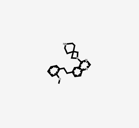 COc1ccccc1CCc1ccc2ncnc(N3CC4(CCNCC4)C3)c2c1